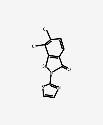 O=c1c2ccc(Cl)c(Cl)c2[se]n1-c1nccs1